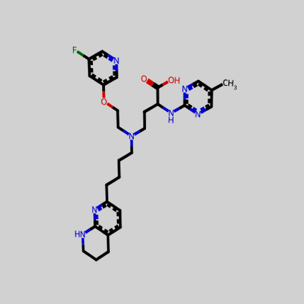 Cc1cnc(NC(CCN(CCCCc2ccc3c(n2)NCCC3)CCOc2cncc(F)c2)C(=O)O)nc1